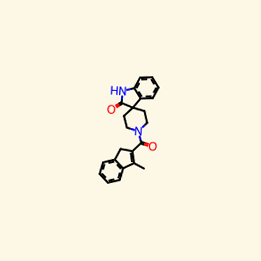 CC1=C(C(=O)N2CCC3(CC2)C(=O)Nc2ccccc23)Cc2ccccc21